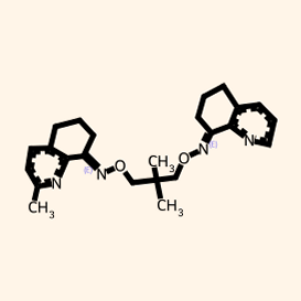 Cc1ccc2c(n1)/C(=N/OCC(C)(C)CO/N=C1\CCCc3cccnc31)CCC2